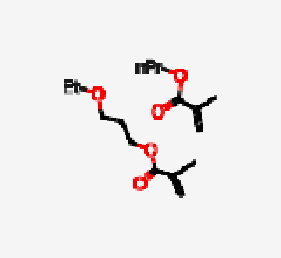 C=C(C)C(=O)OCCC.C=C(C)C(=O)OCCCOCC